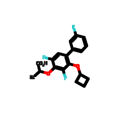 CCC(Oc1c(F)cc(-c2cccc(F)c2)c(OC2CCC2)c1F)C(=O)O